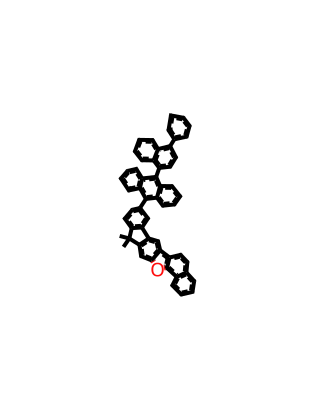 CC1(C)c2ccc(-c3c4ccccc4c(-c4ccc(-c5ccccc5)c5ccccc45)c4ccccc34)cc2-c2cc3c(cc21)oc1c2ccccc2ccc31